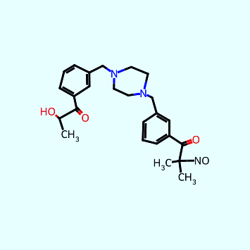 CC(O)C(=O)c1cccc(CN2CCN(Cc3cccc(C(=O)C(C)(C)N=O)c3)CC2)c1